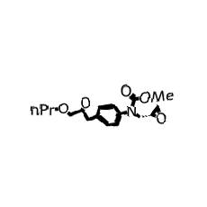 CCCOCC(=O)Cc1ccc(N(C[C@@H]2CO2)C(=O)OC)cc1